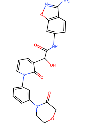 Nc1noc2cc(NC(=O)C(O)c3cccn(-c4cccc(N5CCOCC5=O)c4)c3=O)ccc12